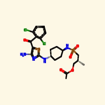 CC(=O)OC[C@@H](C)CS(=O)(=O)N[C@H]1CC[C@H](Nc2nc(N)c(C(=O)c3c(Cl)cccc3Cl)s2)CC1